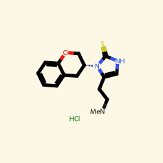 CNCCc1c[nH]c(=S)n1[C@H]1COc2ccccc2C1.Cl